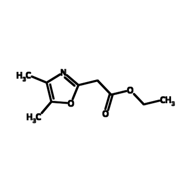 CCOC(=O)Cc1nc(C)c(C)o1